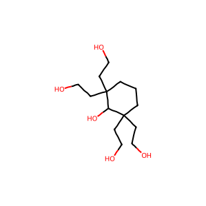 OCCC1(CCO)CCCC(CCO)(CCO)C1O